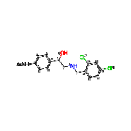 CC(=O)Nc1ccc(C(O)CNCc2ccc(Cl)cc2Cl)cc1